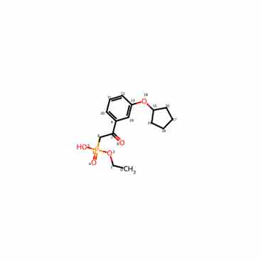 CCOP(=O)(O)CC(=O)c1cccc(OC2CCCC2)c1